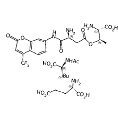 CC[C@H](C)[C@H](NC(C)=O)C(=O)O.C[C@@H](OC(=O)C[C@H](N)C(=O)Nc1ccc2c(C(F)(F)F)cc(=O)oc2c1)[C@H](N)C(=O)O.N[C@@H](CCC(=O)O)C(=O)O